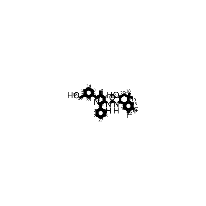 Cc1cc(NC(=O)NC2c3cc(F)c(F)cc3C(C)(C)C[C@H]2O)c(-c2ccccc2)nc1-c1cccc(CO)c1